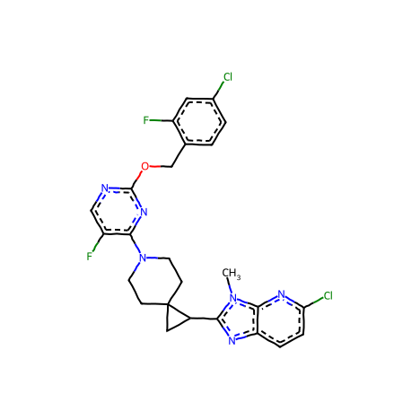 Cn1c(C2CC23CCN(c2nc(OCc4ccc(Cl)cc4F)ncc2F)CC3)nc2ccc(Cl)nc21